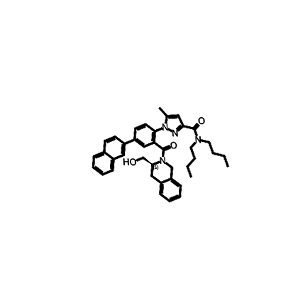 CCCCN(CCCC)C(=O)c1cc(C)n(-c2ccc(-c3ccc4ccccc4c3)cc2C(=O)N2Cc3ccccc3C[C@H]2CO)n1